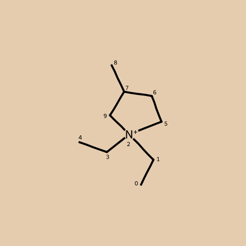 CC[N+]1(CC)CCC(C)C1